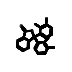 Cc1cccc(C2(c3cccc(C)c3C)OC(=O)c3ccccc32)c1C